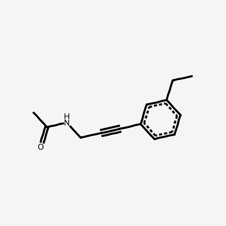 CCc1cccc(C#CCNC(C)=O)c1